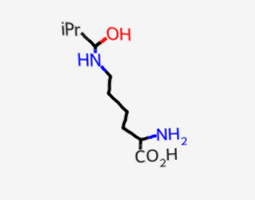 CC(C)C(O)NCCCCC(N)C(=O)O